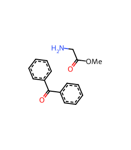 COC(=O)CN.O=C(c1ccccc1)c1ccccc1